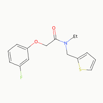 CCN(Cc1cccs1)C(=O)COc1cccc(F)c1